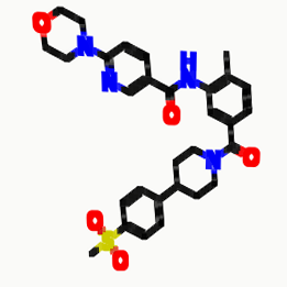 Cc1ccc(C(=O)N2CCC(c3ccc(S(C)(=O)=O)cc3)CC2)cc1NC(=O)c1ccc(N2CCOCC2)nc1